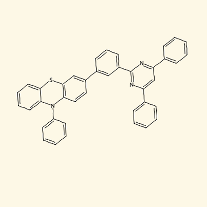 c1ccc(-c2cc(-c3ccccc3)nc(-c3cccc(-c4ccc5c(c4)Sc4ccccc4N5c4ccccc4)c3)n2)cc1